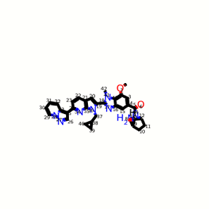 COc1cc(C(=O)N2CC3CCC2[C@@H]3N)cc2nc(-c3cc4ccc(-c5cnn6ccccc56)nc4n3CC3CC3)n(C)c12